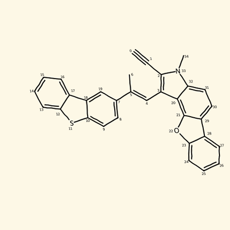 C#Cc1c(/C=C(\C)c2ccc3sc4ccccc4c3c2)c2c3oc4ccccc4c3ccc2n1C